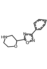 c1ccc(-c2noc(C3CNCCO3)n2)cc1